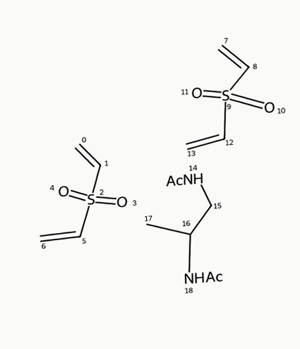 C=CS(=O)(=O)C=C.C=CS(=O)(=O)C=C.CC(=O)NCC(C)NC(C)=O